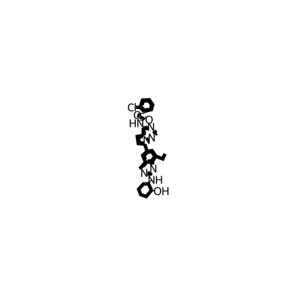 CCc1cc(-c2ccc3c(NS(=O)(=O)c4ccccc4Cl)ncnn23)cc2cnc(N[C@H]3CCCC[C@H]3O)nc12